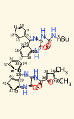 CCCCNC(=O)NC1N=C(c2ccccc2)c2ccccc2NC1=O.Cc1cc(C(=O)NC2N=C(c3ccccc3)c3ccccc3NC2=O)oc1C